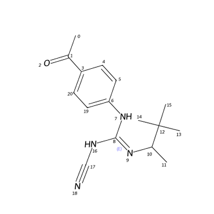 CC(=O)c1ccc(N/C(=N\C(C)C(C)(C)C)NC#N)cc1